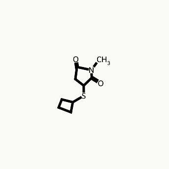 CN1C(=O)CC(SC2CCC2)C1=O